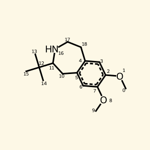 COc1cc2c(cc1OC)CC(C(C)(C)C)NCC2